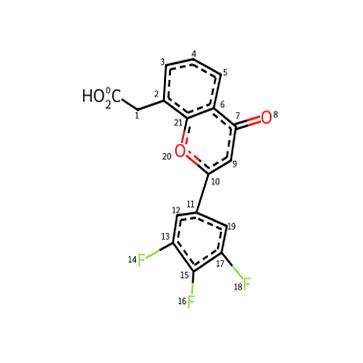 O=C(O)Cc1cccc2c(=O)cc(-c3cc(F)c(F)c(F)c3)oc12